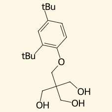 CC(C)(C)c1ccc(OCC(CO)(CO)CO)c(C(C)(C)C)c1